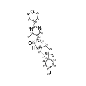 Cc1nc(N2CCOCC2)ncc1N1C[C@]2(CC[C@@](C)(c3ccc(I)cc3)CC2)NC1=O